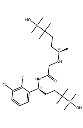 C[C@H](CCC(C)(C)[Si](C)(C)O)NCC(=O)N[C@@H](CCC(C)(C)[Si](C)(C)O)c1cccc(Cl)c1F